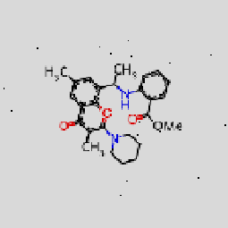 COC(=O)c1ccccc1NC(C)c1cc(C)cc2c(=O)c(C)c(N3CCCCC3)oc12